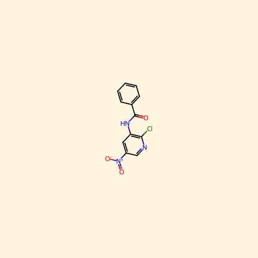 O=C(Nc1cc([N+](=O)[O-])cnc1Cl)c1ccccc1